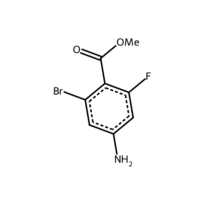 COC(=O)c1c(F)cc(N)cc1Br